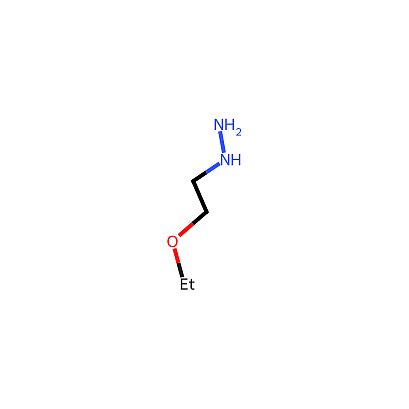 CCOCCNN